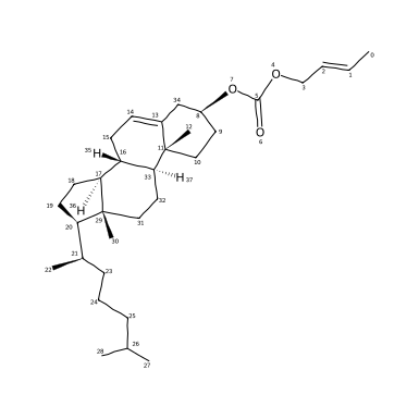 CC=CCOC(=O)O[C@H]1CC[C@@]2(C)C(=CC[C@H]3[C@@H]4CC[C@H]([C@H](C)CCCC(C)C)[C@@]4(C)CC[C@@H]32)C1